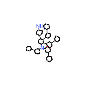 Nc1ccc(-c2ccc(N(c3cccc(-c4ccccc4)c3)c3cccc(-c4ccccc4)c3)c(-c3cccc(-c4ccccc4)c3)c2-c2cccc(-c3ccccc3)c2)cc1